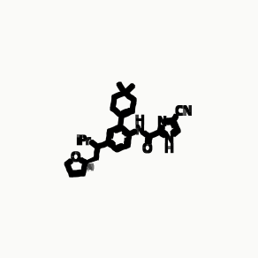 CC(C)C(C[C@H]1C=CCO1)c1ccc(NC(=O)c2nc(C#N)c[nH]2)c(C2=CCC(C)(C)CC2)c1